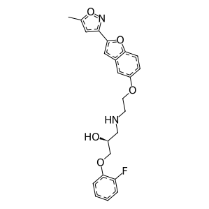 Cc1cc(-c2cc3cc(OCCNC[C@H](O)COc4ccccc4F)ccc3o2)no1